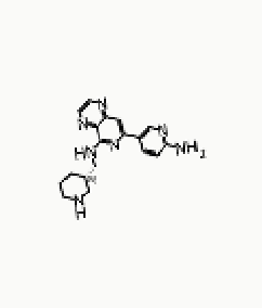 Nc1ccc(-c2cc3nccnc3c(NC[C@H]3CCCNC3)n2)cn1